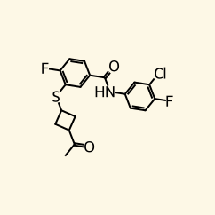 CC(=O)C1CC(Sc2cc(C(=O)Nc3ccc(F)c(Cl)c3)ccc2F)C1